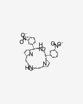 O=[N+]([O-])c1cccc(-c2c3nc(cc4ccc(cc5nc(c(-c6cccc([N+](=O)[O-])c6)c6ccc2[nH]6)C=C5)[nH]4)C=C3)c1